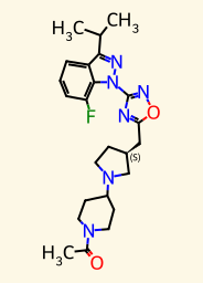 CC(=O)N1CCC(N2CC[C@@H](Cc3nc(-n4nc(C(C)C)c5cccc(F)c54)no3)C2)CC1